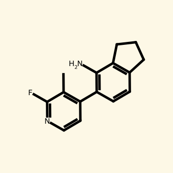 Cc1c(-c2ccc3c(c2N)CCC3)ccnc1F